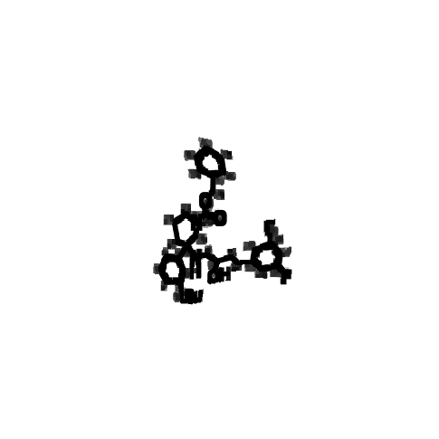 CC(C)(C)c1cccc(C2(NCC(O)CCc3cc(F)cc(F)c3)CCCN(C(=O)OCc3ccccc3)C2)c1